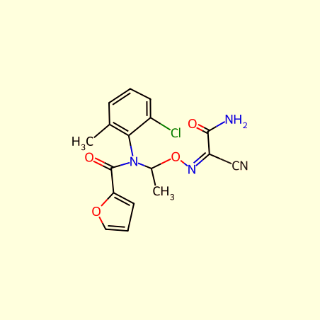 Cc1cccc(Cl)c1N(C(=O)c1ccco1)C(C)ON=C(C#N)C(N)=O